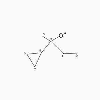 CCC(C)([O])C1CC1